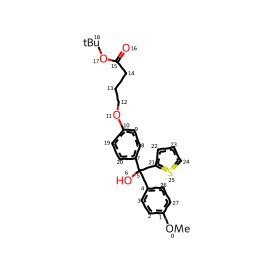 COc1ccc(C(O)(c2ccc(OCCCC(=O)OC(C)(C)C)cc2)c2cccs2)cc1